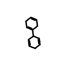 C1=CCC([C]2C=CCC=C2)=CC1